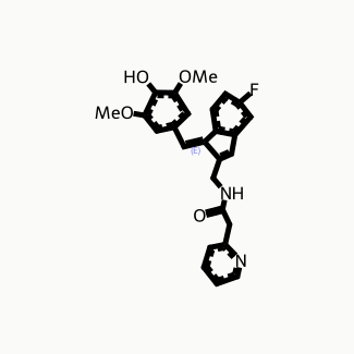 COc1cc(/C=C2/C(CNC(=O)Cc3ccccn3)=Cc3cc(F)ccc32)cc(OC)c1O